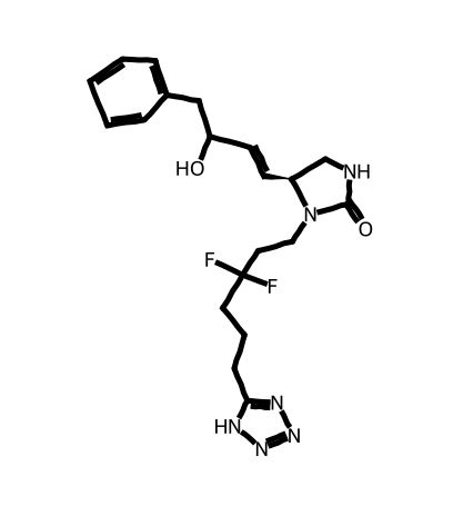 O=C1NC[C@H](/C=C/C(O)Cc2ccccc2)N1CCC(F)(F)CCCc1nnn[nH]1